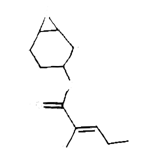 CCC=C(C)C(=O)OC1CCC2OC2C1